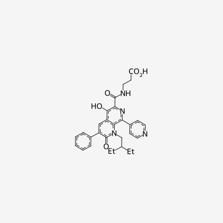 CCC(CC)Cn1c(=O)c(-c2ccccc2)cc2c(O)c(C(=O)NCCC(=O)O)nc(-c3ccncc3)c21